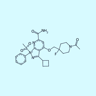 CC(=O)N1CCC(F)(COc2cc(C(N)=O)nc3c2C(C2CCC2)=N[N+]3(c2ccccc2)S(C)(=O)=O)CC1